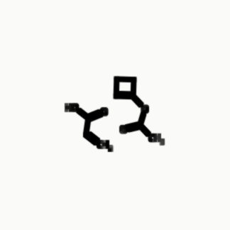 C=CC(=O)O.CC(=O)OC1=CCC1